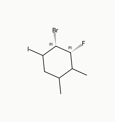 CC1CC(I)[C@H](Br)[C@H](F)C1C